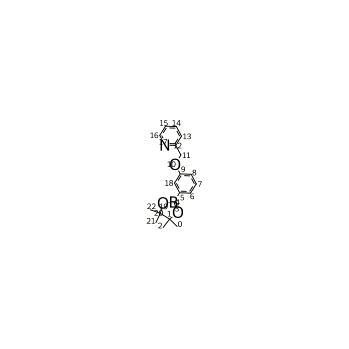 CC1(C)OB(c2cccc(OCc3ccccn3)c2)OC1(C)C